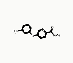 CNC(=O)c1ccc(Oc2cccc([N+](=O)[O-])c2)cn1